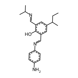 CCC(C)c1cc(C=Nc2ccc(N)cc2)c(O)c(C=NC(C)C)c1